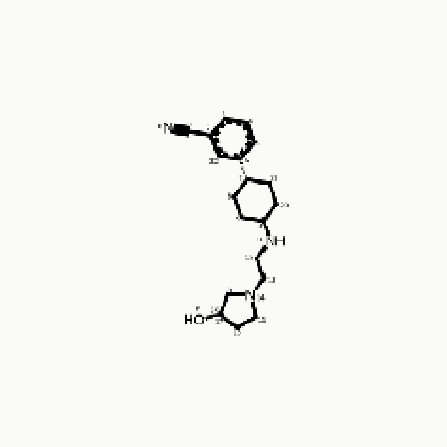 N#Cc1cccc([C@H]2CC[C@H](NCCN3CC[C@@H](O)C3)CC2)c1